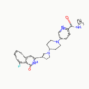 CNC(=O)c1ccc(N2CCC(N3CCC(c4cc5cccc(F)c5c(=O)[nH]4)C3)CC2)cn1